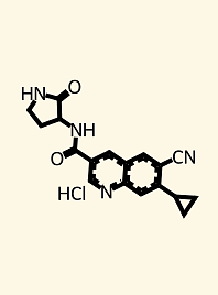 Cl.N#Cc1cc2cc(C(=O)NC3CCNC3=O)cnc2cc1C1CC1